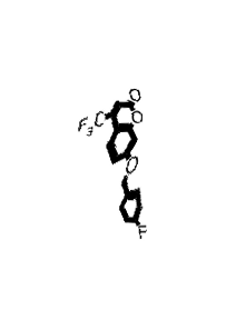 O=c1cc(C(F)(F)F)c2ccc(OCc3ccc(F)cc3)cc2o1